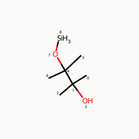 CC(C)(O)C(C)(C)O[SiH3]